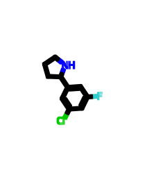 Fc1cc(Cl)cc(C2CCCN2)c1